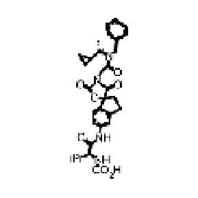 CC(C)C(NC(=O)O)C(=O)Nc1ccc2c(c1)CCC21OC(=O)N(CC(=O)N(Cc2ccccc2)[C@@H](C)C2CC2)C1=O